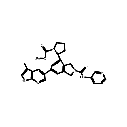 Cc1c[nH]c2ncc(-c3cc4c(c(C5CCCN5C(=O)OC(C)(C)C)c3)CN(C(=O)Nc3cccnc3)C4)cc12